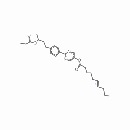 CCC/C=C/CCCCC(=O)Oc1cnc(-c2ccc(CCC(C)OC(=O)CC)cc2)nc1